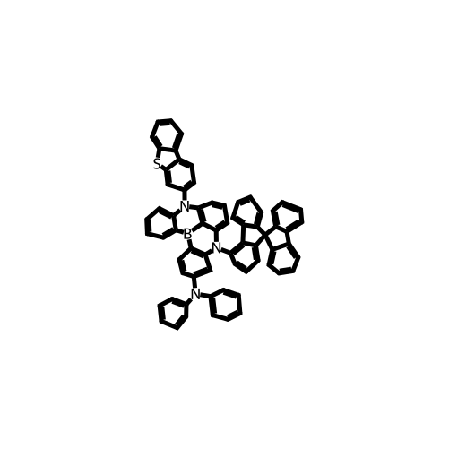 c1ccc(N(c2ccccc2)c2ccc3c(c2)N(c2cccc4c2-c2ccccc2C42c4ccccc4-c4ccccc42)c2cccc4c2B3c2ccccc2N4c2ccc3c(c2)sc2ccccc23)cc1